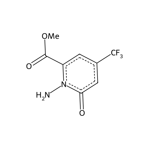 COC(=O)c1cc(C(F)(F)F)cc(=O)n1N